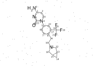 Nc1ccn(-c2ccc(CCN3CC4CC4C3)c(C(F)(F)F)c2)c(=O)n1